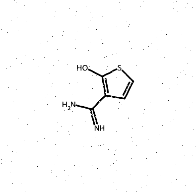 N=C(N)c1ccsc1O